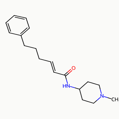 CN1CCC(NC(=O)C=CCCCc2ccccc2)CC1